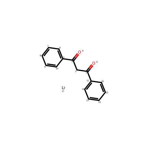 O=C(CC(=O)c1ccccc1)c1ccccc1.[Li]